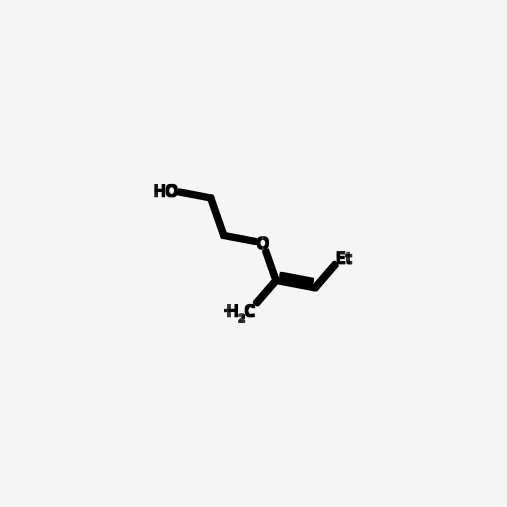 [CH2]C(=CCC)OCCO